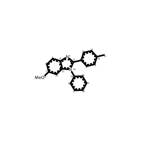 COc1ccc2nc(-c3ccc(C)cc3)n(-c3ccccc3)c2c1